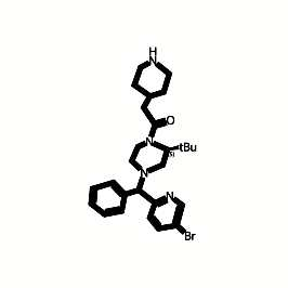 CC(C)(C)[C@H]1CN(C(c2ccccc2)c2ccc(Br)cn2)CCN1C(=O)CC1CCNCC1